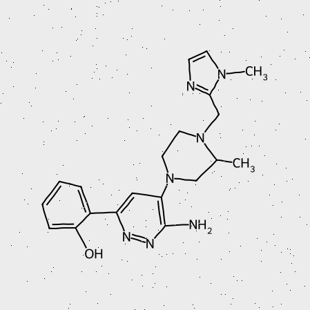 CC1CN(c2cc(-c3ccccc3O)nnc2N)CCN1Cc1nccn1C